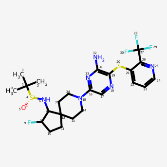 CC(C)(C)[S@@+]([O-])NC1C(F)CCC12CCN(c1cnc(Sc3cccnc3C(F)(F)F)c(N)n1)CC2